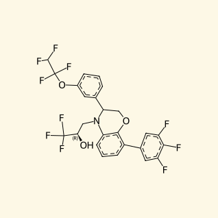 O[C@H](CN1c2cccc(-c3cc(F)c(F)c(F)c3)c2OCC1c1cccc(OC(F)(F)C(F)F)c1)C(F)(F)F